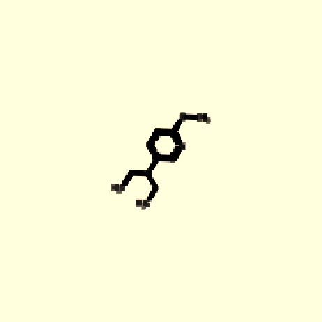 CCC(CC)c1ccc(OC)nc1